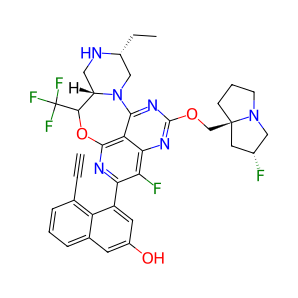 C#Cc1cccc2cc(O)cc(-c3nc4c5c(nc(OC[C@@]67CCCN6C[C@H](F)C7)nc5c3F)N3C[C@@H](CC)NC[C@H]3C(C(F)(F)F)O4)c12